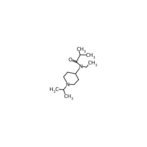 CCN(C(=O)C(C)C)C1CCN(C(C)C)CC1